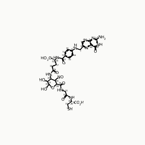 Nc1nc2ncc(CNc3ccc(C(=O)N[C@@H](CCC(=O)NC4C(O)C(O)OC(C(=O)NCC(=O)N[C@@H](CS)C(=O)O)C4N=O)C(=O)O)cc3)nc2c(=O)[nH]1